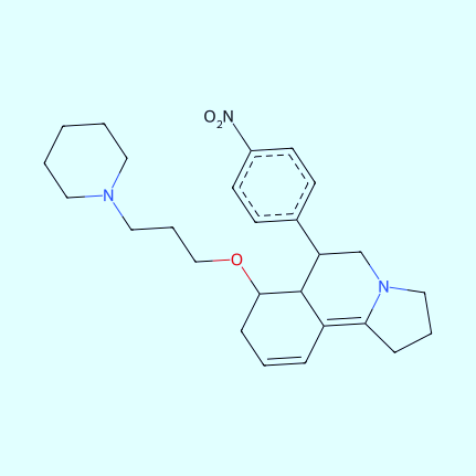 O=[N+]([O-])c1ccc(C2CN3CCCC3=C3C=CCC(OCCCN4CCCCC4)C32)cc1